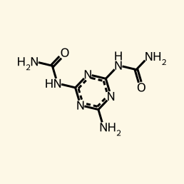 NC(=O)Nc1nc(N)nc(NC(N)=O)n1